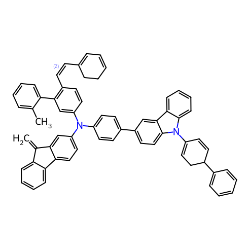 C=C1c2ccccc2-c2ccc(N(c3ccc(-c4ccc5c(c4)c4ccccc4n5C4=CCC(c5ccccc5)C=C4)cc3)c3ccc(/C=C\C4=CC=CCC4)c(-c4ccccc4C)c3)cc21